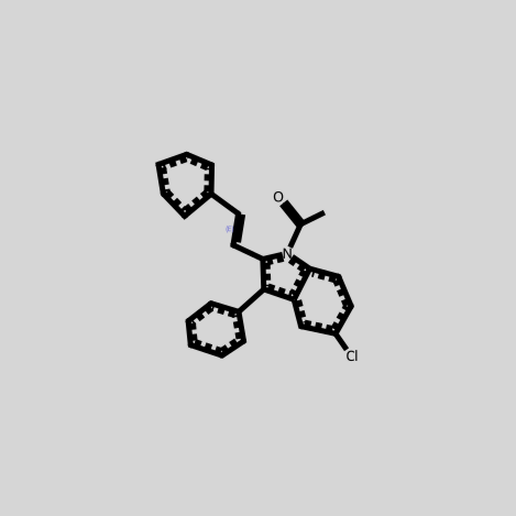 CC(=O)n1c(/C=C/c2ccccc2)c(-c2ccccc2)c2cc(Cl)ccc21